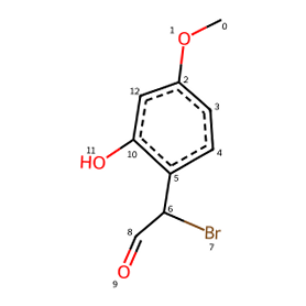 COc1ccc(C(Br)C=O)c(O)c1